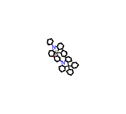 c1ccc(N2c3ccccc3[Si](c3ccccc3)(c3cccc(N4c5ccccc5C(c5ccccc5)(c5ccccc5)c5ccccc54)c3)c3ccccc32)cc1